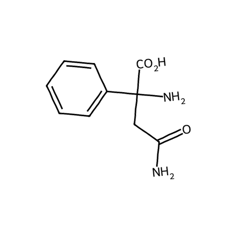 NC(=O)CC(N)(C(=O)O)c1ccccc1